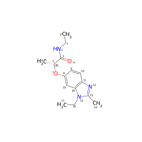 CCNC(=O)[C@@H](C)Oc1ccc2nc(C)n(CC)c2c1